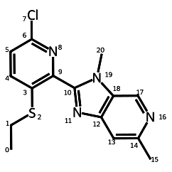 CCSc1ccc(Cl)nc1-c1nc2cc(C)ncc2n1C